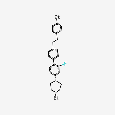 CCc1ccc(CCc2ccc(-c3ccc([C@H]4CC[C@H](CC)CC4)cc3F)cc2)cc1